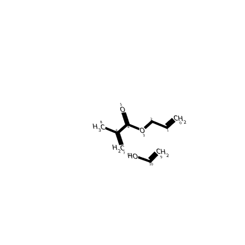 C=CCOC(=O)C(=C)C.C=CO